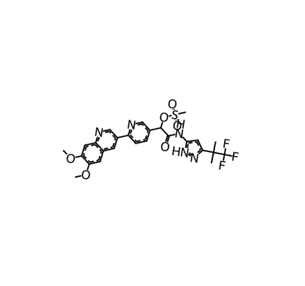 COc1cc2cc(-c3ccc(C(OS(C)(=O)=O)C(=O)Nc4cc(C(C)(C)C(F)(F)F)n[nH]4)cn3)cnc2cc1OC